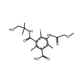 COCC(=O)Nc1c(I)c(C(=O)O)c(I)c(C(=O)NC(C)(C)CO)c1I